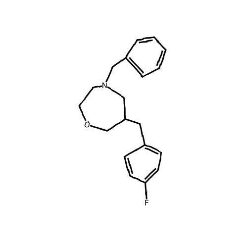 Fc1ccc(CC2COCCN(Cc3ccccc3)C2)cc1